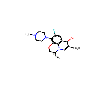 C[C@H]1COc2c(N3CCN(C)CC3)c(F)cc3c2N1C=C(C(=O)O)C3O